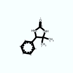 CC1(C)NC(=O)NC1c1ccccc1